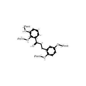 CCCC(C)Oc1ccc(OC(C)CCC)c(CCC(=O)c2cccc(OC(C)CCC)c2OC(C)CCC)c1